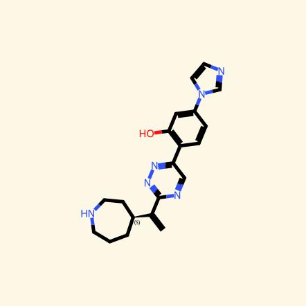 C=C(c1ncc(-c2ccc(-n3ccnc3)cc2O)nn1)[C@H]1CCCNCC1